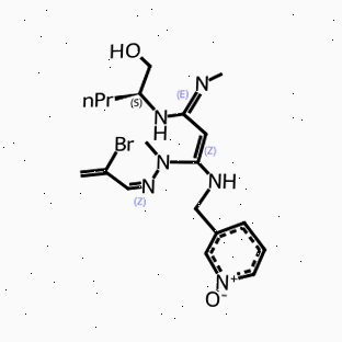 C=C(Br)/C=N\N(C)/C(=C\C(=N/C)N[C@H](CO)CCC)NCc1ccc[n+]([O-])c1